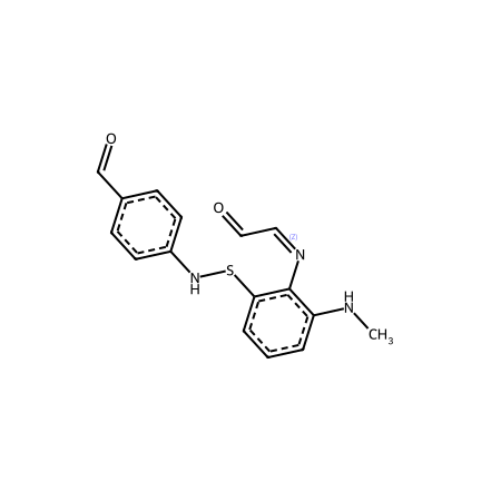 CNc1cccc(SNc2ccc(C=O)cc2)c1/N=C\C=O